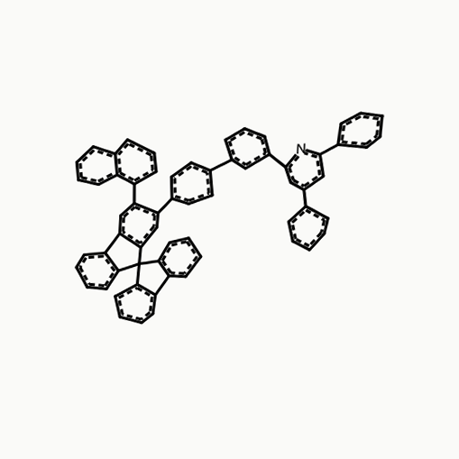 c1ccc(-c2cc(-c3ccccc3)nc(-c3cccc(-c4ccc(-c5cc6c(cc5-c5cccc7ccccc57)-c5ccccc5C65c6ccccc6-c6ccccc65)cc4)c3)c2)cc1